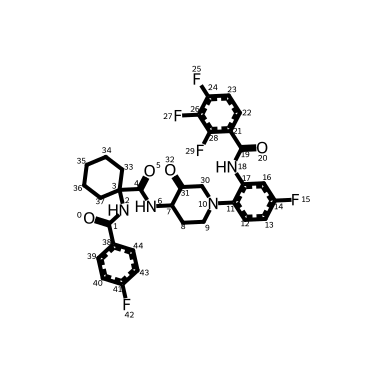 O=C(NC1(C(=O)NC2CCN(c3ccc(F)cc3NC(=O)c3ccc(F)c(F)c3F)CC2=O)CCCCC1)c1ccc(F)cc1